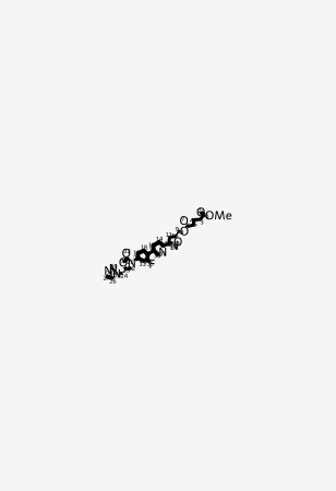 COC(=O)CCCC(=O)OC[C@@H]1CC(c2ccc(-c3ccc(N4C[C@H](Cn5ccnn5)OC4=O)cc3F)cn2)=NO1